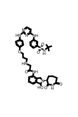 CC(C)(C)NS(=O)(=O)c1cccc(Nc2ccnc(Nc3ccc(OCCCNCC(=O)Nc4cccc5c4CN([C@H]4CCCC(=O)NC4=O)C5O)cc3)n2)c1